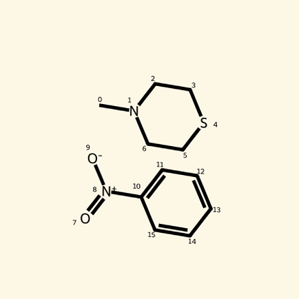 CN1CCSCC1.O=[N+]([O-])c1ccccc1